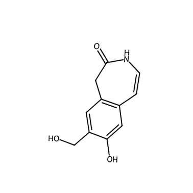 O=C1Cc2cc(CO)c(O)cc2C=CN1